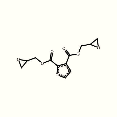 O=C(OCC1CO1)c1ccoc1C(=O)OCC1CO1